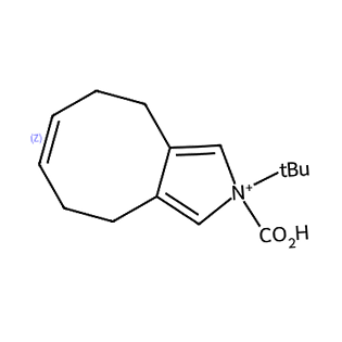 CC(C)(C)[N+]1(C(=O)O)C=C2CC/C=C\CCC2=C1